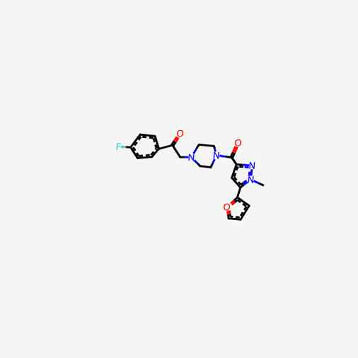 Cn1nc(C(=O)N2CCN(CC(=O)c3ccc(F)cc3)CC2)cc1-c1ccco1